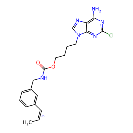 C/C=C\c1cccc(CNC(=O)OCCCCn2cnc3c(N)nc(Cl)nc32)c1